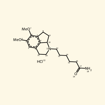 COc1cc2c3c(c1OC)CCC3N(CCCCCC(N)=O)CC2.Cl